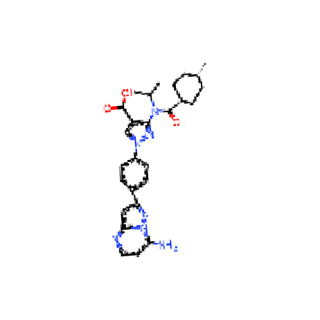 CC(C)N(c1nn(-c2ccc(-c3cc4nccc(N)n4n3)cc2)cc1C(=O)O)C(=O)[C@H]1CC[C@H](C)CC1